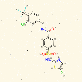 O=C(NCc1ccc(C(F)(F)F)c(Cl)c1)c1ccc(S(=O)(=O)Nc2ncc(Cl)s2)cc1